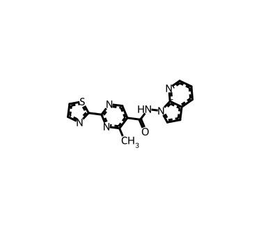 Cc1nc(-c2nccs2)ncc1C(=O)Nn1ccc2cccnc21